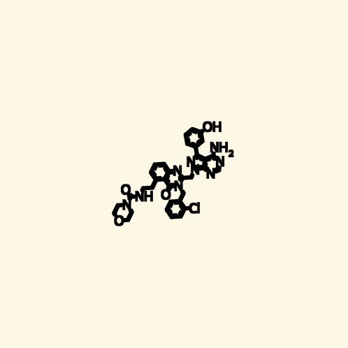 Nc1ncnc2c1c(-c1cccc(O)c1)nn2Cc1nc2cccc(CCNC(=O)N3CCOCC3)c2c(=O)n1Cc1ccccc1Cl